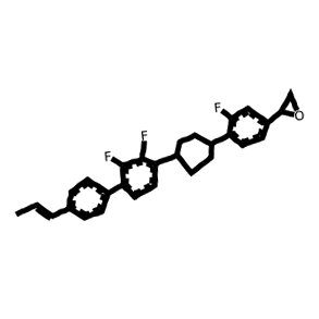 C/C=C/c1ccc(-c2ccc(C3CCC(c4ccc(C5CO5)cc4F)CC3)c(F)c2F)cc1